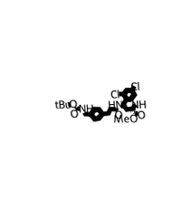 COC(=O)[C@@H]1C[C@@H](NC(=O)CCc2ccc(CNC(=O)OC(C)(C)C)cc2)c2c(Cl)cc(Cl)cc2N1